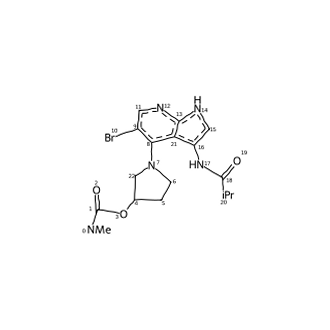 CNC(=O)OC1CCN(c2c(Br)cnc3[nH]cc(NC(=O)C(C)C)c23)C1